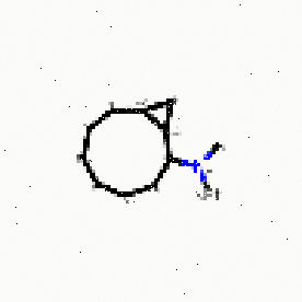 CCN(C)C1CCCCCCC2CC21